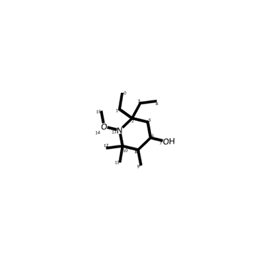 CCC1(CC)CC(O)C(C)C(C)(C)N1OC